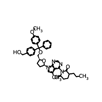 CCCC1CCC(=O)N(c2ncnc3c2c(C)cn3[C@H]2CC[C@@H](COC(c3ccccc3)(c3ccc(CO)cc3)c3ccc(OC)cc3)O2)C1=O